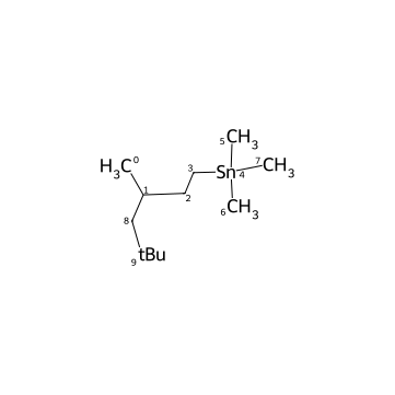 CC(C[CH2][Sn]([CH3])([CH3])[CH3])CC(C)(C)C